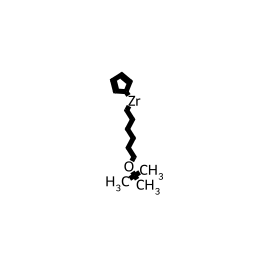 CC(C)(C)OCCCCC[CH2][Zr][CH]1C=CC=C1